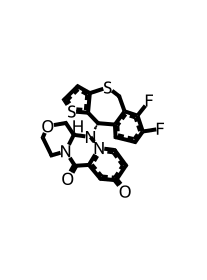 O=C1c2cc(=O)ccn2N([C@H]2c3ccc(F)c(F)c3CSc3ccsc32)[C@@H]2COCCN12